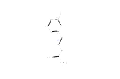 O=C(O)C/C=C/c1cccc(F)c1